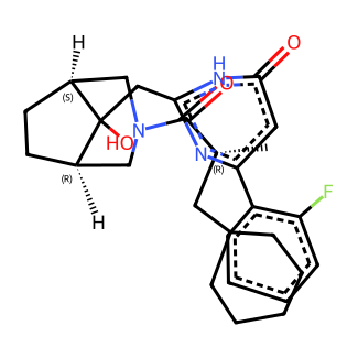 C[C@H](CC1CCCCC1)C(=O)N1C[C@H]2CC[C@@H](C1)C2(O)Cc1nc(-c2ccccc2F)cc(=O)[nH]1